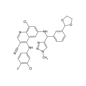 Cn1cc(C(Nc2cc(Cl)c3ncc(C#N)c(Nc4ccc(F)c(Cl)c4)c3c2)c2cccc(C3OCCO3)c2)nn1